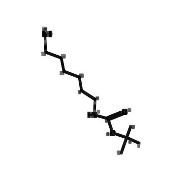 CC(C)(C)OC(=O)NCCCCCC[NH]